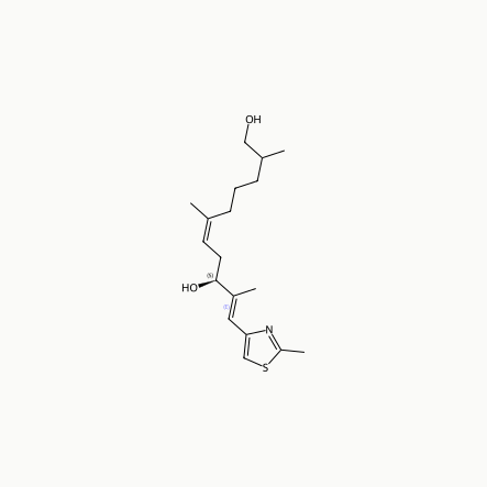 CC(=CC[C@H](O)/C(C)=C/c1csc(C)n1)CCCC(C)CO